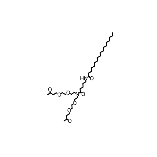 CCCCCCCCCCCCCCCCCC(=O)NCCCCC(=O)N(CCOCCOCCC(C)=O)CCOCCOCCC(C)=O